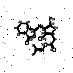 CC(C)=NOC(=O)Cc1sc(F)c(N=c2sc(=O)n3n2CCCC3)c1Cl